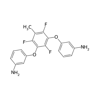 Cc1c(F)c(Oc2cccc(N)c2)c(F)c(Oc2cccc(N)c2)c1F